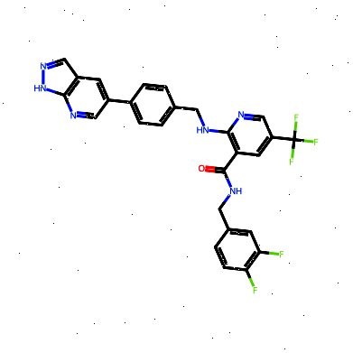 O=C(NCc1ccc(F)c(F)c1)c1cc(C(F)(F)F)cnc1NCc1ccc(-c2cnc3[nH]ncc3c2)cc1